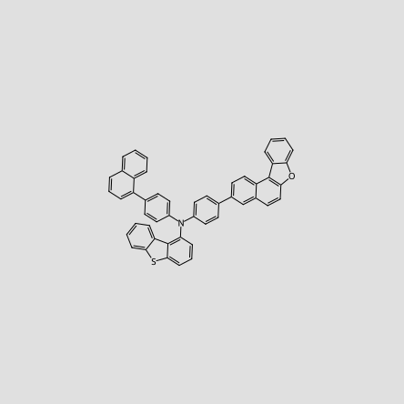 c1ccc2c(-c3ccc(N(c4ccc(-c5ccc6c(ccc7oc8ccccc8c76)c5)cc4)c4cccc5sc6ccccc6c45)cc3)cccc2c1